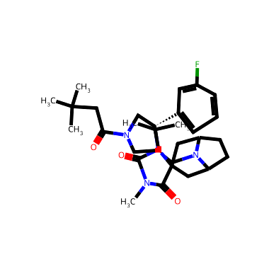 CC(C)N1C(=O)N(C)C(=O)C12CC1CCC(C2)N1C[C@H]1CN(C(=O)CC(C)(C)C)C[C@@H]1c1cccc(F)c1